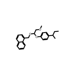 CCC(C)c1ccc(OC(COC)OCc2cccc3ccccc23)cc1